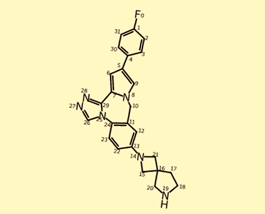 Fc1ccc(-c2cc3n(c2)Cc2cc(N4CC5(CCNC5)C4)ccc2-n2cnnc2-3)cc1